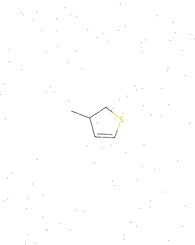 CC1C=CSC1